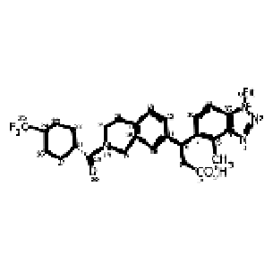 CCn1nnc2c(C)c(C(CC(=O)O)c3ccc4c(c3)CN(C(=O)[C@H]3CC[C@H](C(F)(F)F)CC3)CC4)ccc21